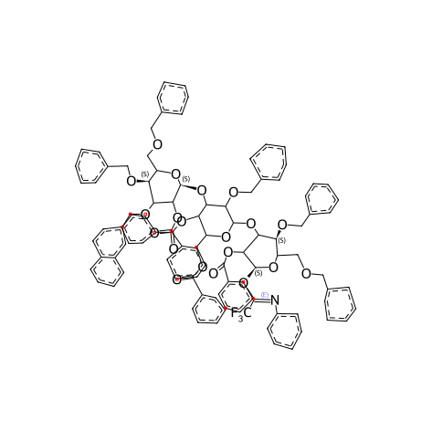 O=C(OCC1OC(OC2C(OC(=O)c3ccccc3)[C@H](O/C(=N/c3ccccc3)C(F)(F)F)OC(COCc3ccccc3)[C@@H]2OCc2ccccc2)C(OCc2ccccc2)C(O[C@@H]2OC(COCc3ccccc3)[C@H](OCc3ccccc3)C(OCc3ccc4ccccc4c3)C2OC(=O)c2ccccc2)C1OC(=O)c1ccccc1)c1ccccc1